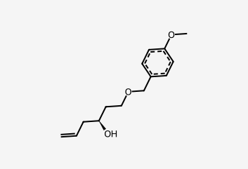 C=CC[C@H](O)CCOCc1ccc(OC)cc1